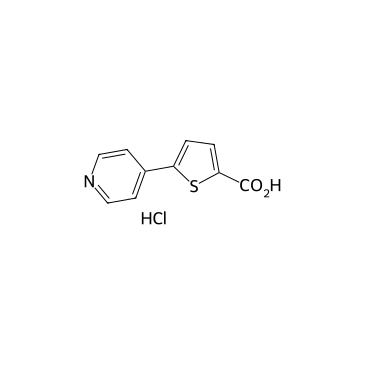 Cl.O=C(O)c1ccc(-c2ccncc2)s1